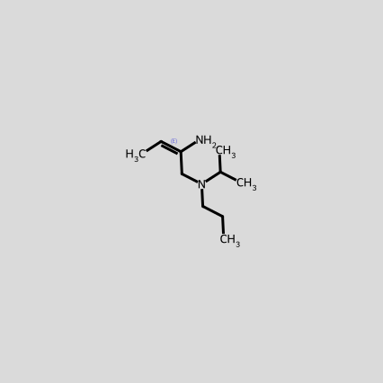 C/C=C(/N)CN(CCC)C(C)C